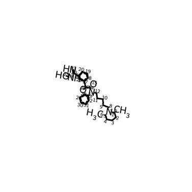 C[C@@H]1CCC[C@H](C)N1CCCCCN1C(=O)C(c2cccc(C(=N)NO)c2)Oc2ccccc21